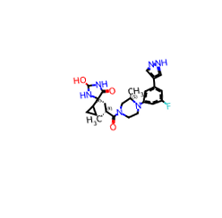 C[C@H](C[C@]1(C2CC2)NC(O)NC1=O)C(=O)N1CCN(c2cc(F)cc(-c3cn[nH]c3)c2)[C@@H](C)C1